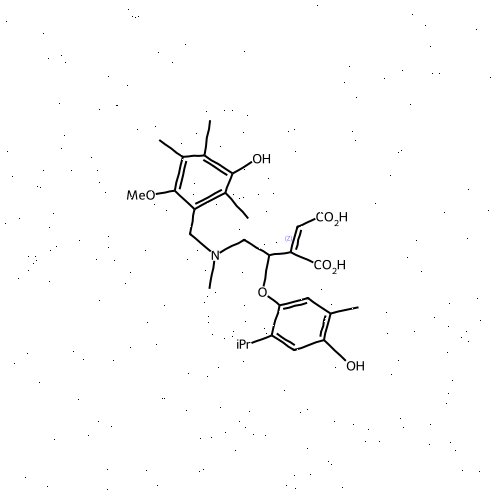 COc1c(C)c(C)c(O)c(C)c1CN(C)CC(Oc1cc(C)c(O)cc1C(C)C)/C(=C/C(=O)O)C(=O)O